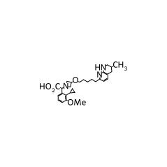 COc1cccc(C(C(=O)O)N2CC(OCCCCCc3ccc4c(n3)NCC(C)C4)C2)c1C1CC1